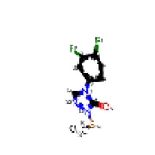 O=c1n(-c2ccc(F)c(F)c2)cnn1SC(Cl)(Cl)Cl